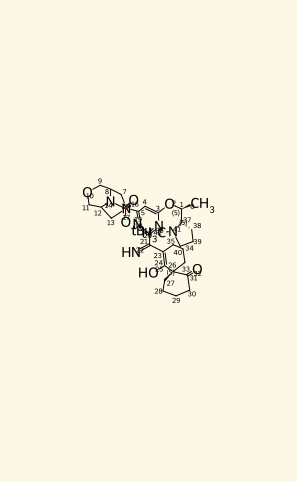 C[C@H](Oc1cc(N2CC3COCC(C2)N3C(=O)OC(C)(C)C)nc(C(=N)C2=C(O)[C@]3(CCCCC3=O)CCC2)n1)[C@@H]1CCCN1C